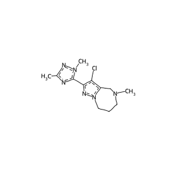 Cc1nc(-c2nn3c(c2Cl)CN(C)CCC3)n(C)n1